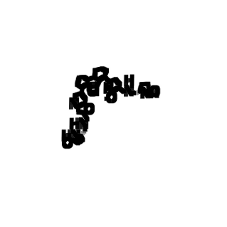 COc1nc(-c2cccc(-c3cccc(-c4cnc5cc(CNC[C@@H]6CCC(=O)N6)oc5c4)c3Cl)c2Cl)ccc1CNC[C@@H]1CCC(=O)N1